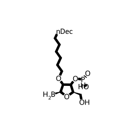 B[C@@H]1O[C@H](CO)C(O[PH](=O)O)C1OCCCCCCCCCCCCCCCC